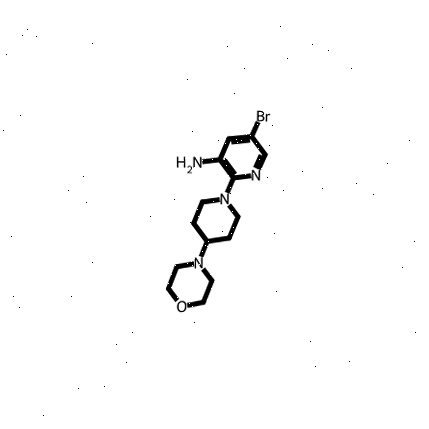 Nc1cc(Br)cnc1N1CCC(N2CCOCC2)CC1